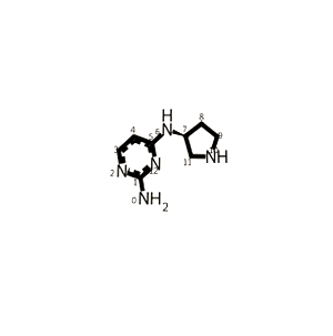 Nc1nccc(N[C@H]2CCNC2)n1